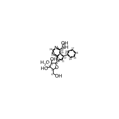 C[C@@]1(O)C(O)C(CO)OC1n1cc(-c2ccccc2)c2c(NO)ncnc21